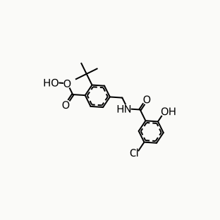 CC(C)(C)c1cc(CNC(=O)c2cc(Cl)ccc2O)ccc1C(=O)OO